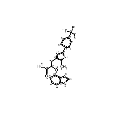 Cc1nc(-c2ccc(C(F)(F)F)cc2)sc1CC(Oc1cccc2ncsc12)C(=O)O